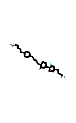 C=CCCc1ccc(-c2ccc(C/C=C/Cc3ccc(CC/C=C/C)cc3)c(F)c2)c(F)c1